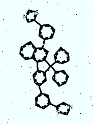 c1ccc(C2(c3ccccc3)c3cc(-c4cccc(-c5cncs5)c4)ccc3-c3c2cc(-c2cccc(-c4cncs4)c2)c2ccccc32)cc1